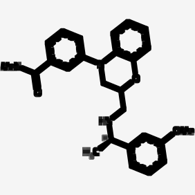 CNC(=O)c1cccc(N2CC(CN[C@H](C)c3cccc(OC)c3)Oc3ccccc32)c1